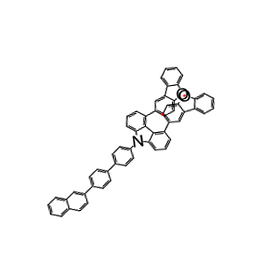 c1ccc2cc(-c3ccc(-c4ccc(-n5c6cccc(-c7ccc8oc9ccccc9c8c7)c6c6c(-c7ccc8oc9ccccc9c8c7)cccc65)cc4)cc3)ccc2c1